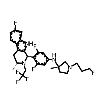 C[C@@H]1Cc2c([nH]c3cc(F)ccc23)[C@@H](c2c(F)cc(N[C@@]3(C)CCN(CCCF)C3)cc2F)N1CC(F)(F)F